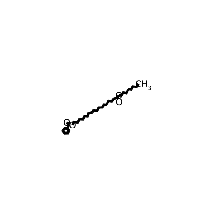 CCCCCCCCOC(=O)CCCCCCCCCCCCCCCCCOC(=O)c1ccccc1